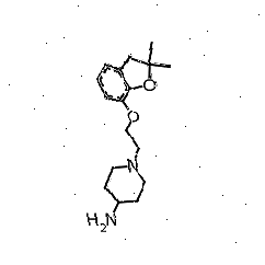 CC1(C)Cc2cccc(OCCN3CCC(N)CC3)c2O1